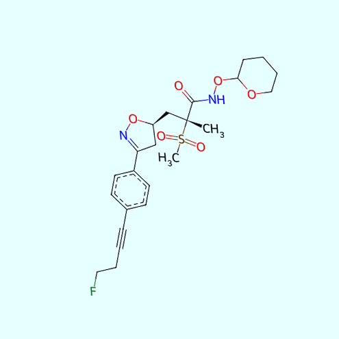 C[C@@](C[C@H]1CC(c2ccc(C#CCCF)cc2)=NO1)(C(=O)NOC1CCCCO1)S(C)(=O)=O